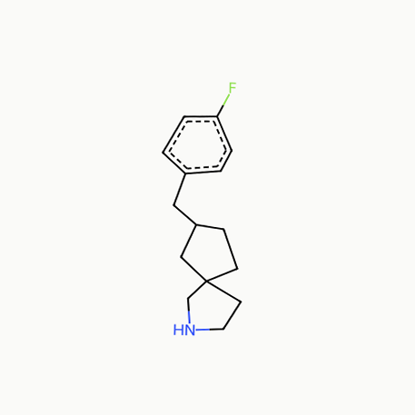 Fc1ccc(CC2CCC3(CCNC3)C2)cc1